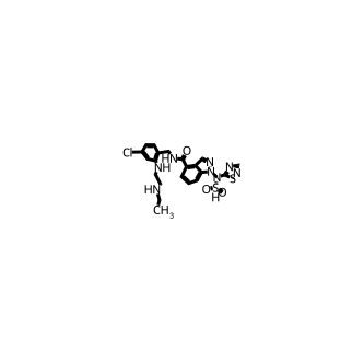 CCNCCNc1cc(Cl)ccc1CNC(=O)c1cccc2c1cnn2N(c1ncns1)[SH](=O)=O